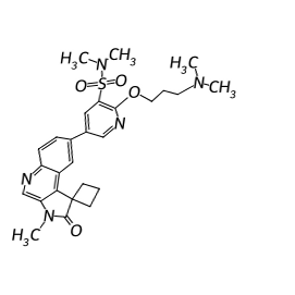 CN(C)CCCOc1ncc(-c2ccc3ncc4c(c3c2)C2(CCC2)C(=O)N4C)cc1S(=O)(=O)N(C)C